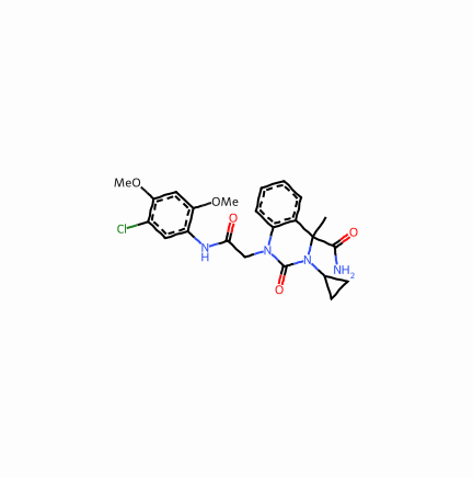 COc1cc(OC)c(NC(=O)CN2C(=O)N(C3CC3)C(C)(C(N)=O)c3ccccc32)cc1Cl